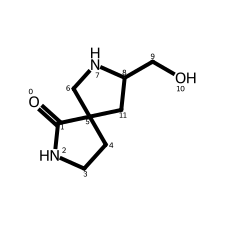 O=C1NCCC12CNC(CO)C2